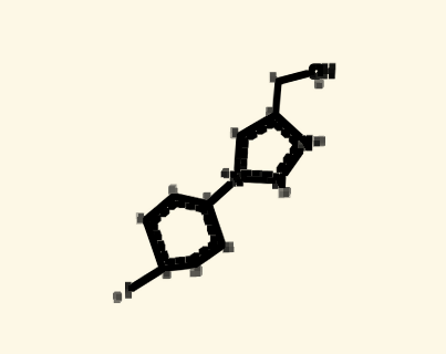 OCc1cn(-c2ccc(I)cc2)nn1